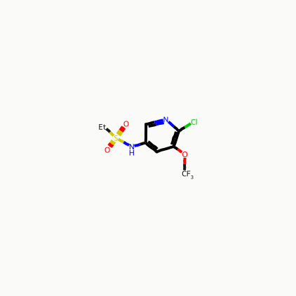 CCS(=O)(=O)Nc1cnc(Cl)c(OC(F)(F)F)c1